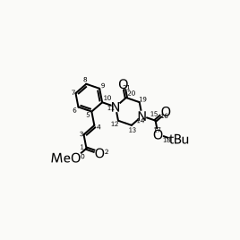 COC(=O)/C=C/c1ccccc1N1CCN(C(=O)OC(C)(C)C)CC1=O